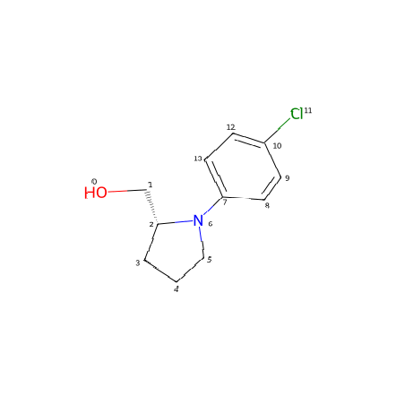 OC[C@H]1CCCN1c1ccc(Cl)cc1